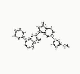 Cn1cc(-c2ccc3[nH]nc(-c4cc5c(-c6cccnc6)ccnc5[nH]4)c3c2)cn1